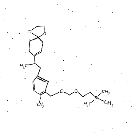 Cc1ccc(CC(C)C2=CCC3(CC2)OCCO3)cc1COCOCC[Si](C)(C)C